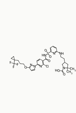 CC1(C)CC(CCNc2cccc(S(=O)(=O)NC(=O)c3ccc(-n4ccc(OCCCC5(C(F)(F)F)CC5)n4)nc3Cl)n2)CN1C(=O)O